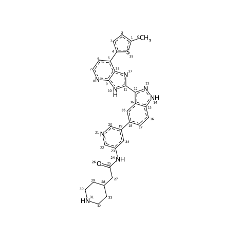 Cc1ccc(-c2ccnc3[nH]c(-c4n[nH]c5ccc(-c6cncc(NC(=O)CC7CCNCC7)c6)cc45)nc23)s1